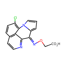 O=C(O)CO/N=c1/c2nccc3ccc(Cl)c(c32)n2cccc12